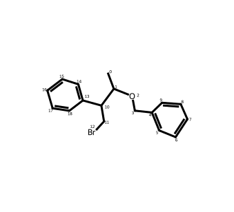 CC(OCc1ccccc1)C(CBr)c1ccccc1